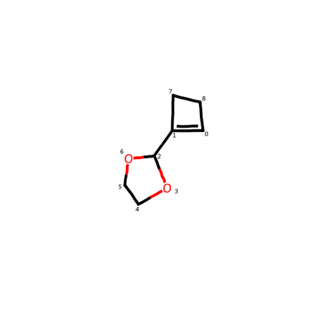 C1=C(C2OCCO2)CC1